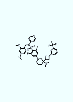 COc1ccc(CN(c2ccncn2)S(=O)(=O)c2c(F)cc(N3CCCC(C4CC(c5cccc(C(F)(F)F)c5)C4)(N(C)C)C3)cc2F)c(OC)c1